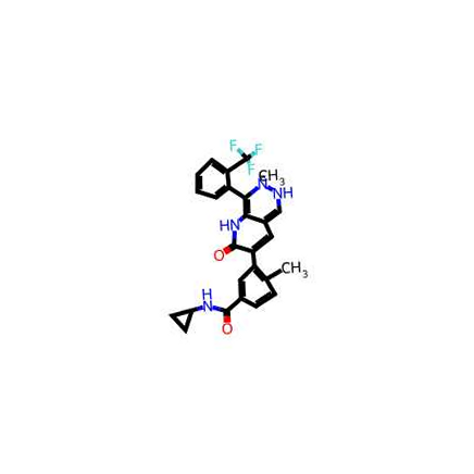 Cc1ccc(C(=O)NC2CC2)cc1-c1cc2c([nH]c1=O)=C(c1ccccc1C(F)(F)F)N(C)NC=2